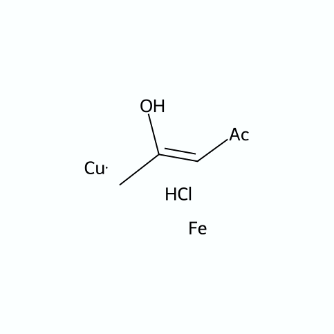 CC(=O)/C=C(/C)O.Cl.[Cu].[Fe]